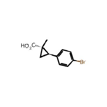 C[C@]1(C(=O)O)C[C@@H]1c1ccc(Br)cc1